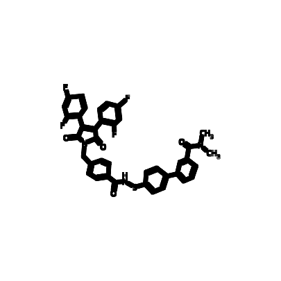 CN(C)C(=O)c1cccc(-c2ccc(SNC(=O)c3ccc(CN4C(=O)C(c5ccc(F)cc5F)=C(c5ccc(F)cc5F)C4=O)cc3)cc2)c1